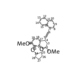 COC(=O)CC(C#Cc1cccc2ccccc12)c1ccc(OC)c(OC2CCCC2)c1